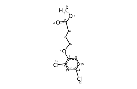 COC(=O)CCCOc1ccc(Cl)cc1Cl